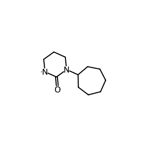 O=C1[N]CCCN1C1CCCCCC1